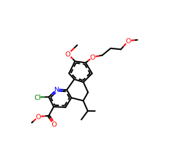 COCCCOc1cc2c(cc1OC)-c1nc(Cl)c(C(=O)OC)cc1C(C(C)C)C2